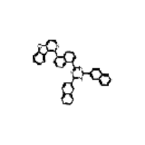 c1ccc2cc(-c3nc(-c4ccc5ccccc5c4)nc(-c4cccc5c(-c6nccc7oc8ccccc8c67)cccc45)n3)ccc2c1